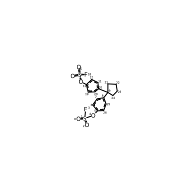 O=S(=O)(F)Oc1ccc(C2(c3ccc(OS(=O)(=O)F)cc3)CCCC2)cc1